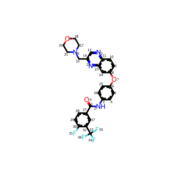 O=C(Nc1ccc(Oc2ccc3ncc(CN4CCOCC4)nc3c2)cc1)c1ccc(F)c(C(F)(F)F)c1